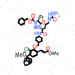 COC(=O)/C=C/c1ccc(/C(OC)=C2/C3CC4CC(C3)C2C4)c(Cl)c1OCc1ccc(NC(=O)C(CCCNC(N)=O)NC(=O)C(NC(=O)OCc2ccccc2)C(C)C)cc1